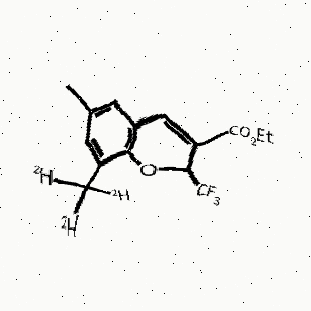 [2H]C([2H])([2H])c1cc(C)cc2c1OC(C(F)(F)F)C(C(=O)OCC)=C2